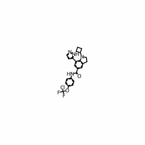 O=C(Nc1ccc(OC(F)(F)Cl)cc1)c1cc2c(c(-c3ccn[nH]3)c1)N(C1CCC1)CC2